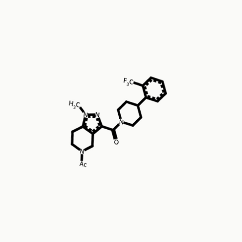 CC(=O)N1CCc2c(c(C(=O)N3CCC(c4ccccc4C(F)(F)F)CC3)nn2C)C1